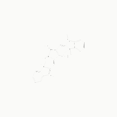 CN1C(=CC2=C(O)C(=CC3=[N+](C)c4ccccc4C3(C)C)C(=O)C2=O)C(C)(C)c2ccccc21